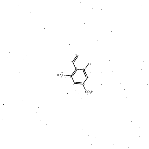 C=Cc1c(C)cc(C(=O)O)cc1C(=O)O